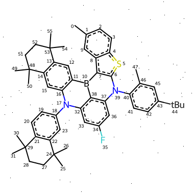 Cc1ccc2sc3c(c2c1)B1c2cc4c(cc2N(c2ccc5c(c2)C(C)(C)CCC5(C)C)c2cc(F)cc(c21)N3c1ccc(C(C)(C)C)cc1C)C(C)(C)CCC4(C)C